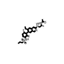 CCCS(=O)(=O)Nc1ccc(F)c(-c2cc3cnc(NC[C@H](C)NC(C)=O)cc3cc2CC)c1F